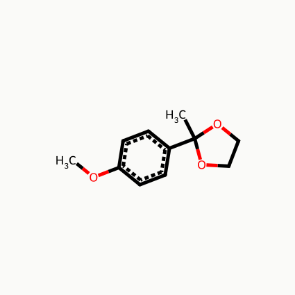 COc1ccc(C2(C)OCCO2)cc1